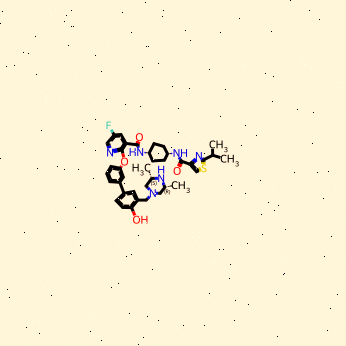 CC(C)c1nc(C(=O)N[C@H]2CC[C@@H](NC(=O)c3cc(F)cnc3Oc3cccc(-c4ccc(O)c(CN5C[C@@H](C)N[C@@H](C)C5)c4)c3)CC2)cs1